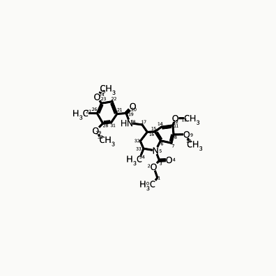 CCOC(=O)N1c2cc(OC)c(OC)cc2C(CNC(=O)c2cc(OC)c(C)c(OC)c2)CC1C